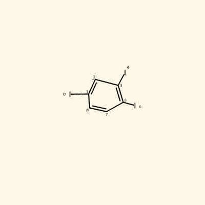 Ic1[c]c(I)c(I)cc1